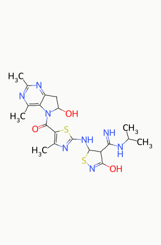 Cc1nc(C)c2c(n1)CC(O)N2C(=O)c1sc(NC2SN=C(O)C2C(=N)NC(C)C)nc1C